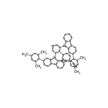 Cc1cc(C)c(-c2ccc3c4ccccc4n(-c4cncc(-n5c6ccccc6c6ccc(-c7c(C)cc(C)cc7C)cc65)c4-c4ccc(C#N)cc4)c3c2)c(C)c1